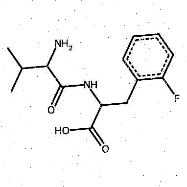 CC(C)C(N)C(=O)NC(Cc1ccccc1F)C(=O)O